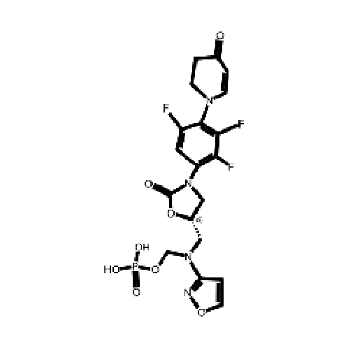 O=C1C=CN(c2c(F)cc(N3C[C@H](CN(COP(=O)(O)O)c4ccon4)OC3=O)c(F)c2F)CC1